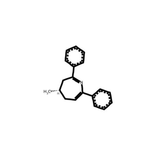 C[C@H]1CC=C(c2ccccc2)N=C(c2ccccc2)C1